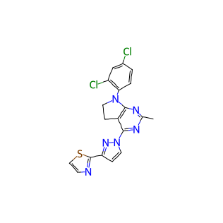 Cc1nc2c(c(-n3ccc(-c4nccs4)n3)n1)CCN2c1ccc(Cl)cc1Cl